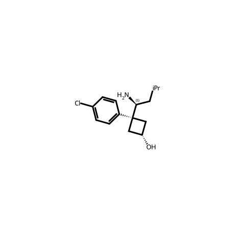 CC(C)C[C@H](N)[C@]1(c2ccc(Cl)cc2)C[C@@H](O)C1